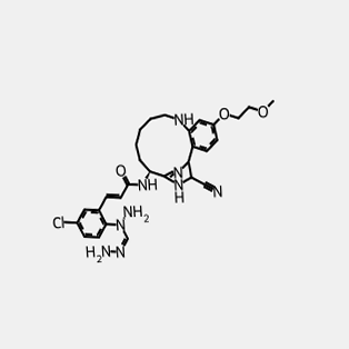 COCCOc1ccc2c(c1)NCCCCC[C@H](NC(=O)/C=C/c1cc(Cl)ccc1N(N)/C=N\N)C1=NC2C(C#N)N1